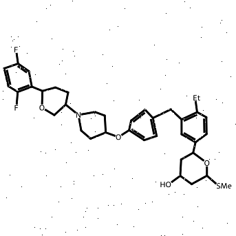 CCc1ccc(C2CC(O)CC(SC)O2)cc1Cc1ccc(OC2CCN(C3CCC(c4cc(F)ccc4F)OC3)CC2)cc1